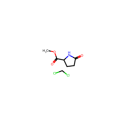 COC(=O)C1CCC(=O)N1.ClCCl